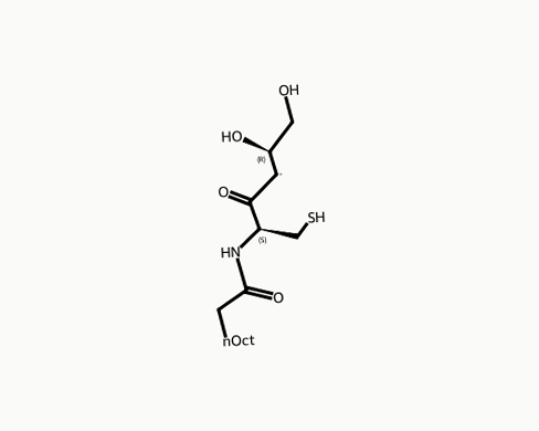 CCCCCCCCCC(=O)N[C@H](CS)C(=O)[CH][C@@H](O)CO